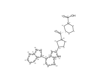 O=C(O)N1CCC[C@H](C(=O)N2CCC(c3cc4c(-c5cnn6ncccc56)ccnc4[nH]3)C2)C1